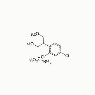 CC(=O)OCC(CO)c1ccc(Cl)cc1Cl.NC(=O)O